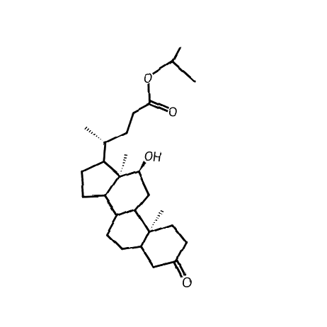 CC(C)OC(=O)CC[C@@H](C)C1CCC2C3CCC4CC(=O)CC[C@]4(C)C3C[C@H](O)[C@@]21C